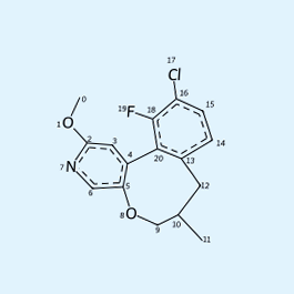 COc1cc2c(cn1)OCC(C)Cc1ccc(Cl)c(F)c1-2